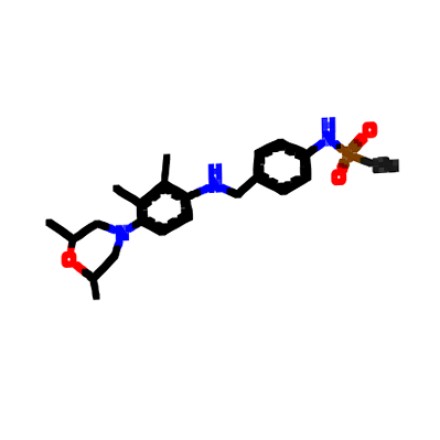 Cc1c(NCc2ccc(NS(=O)(=O)C(C)(C)C)cc2)ccc(N2CC(C)OC(C)C2)c1C